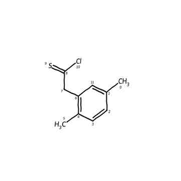 Cc1ccc(C)c(CC(=S)Cl)c1